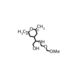 COCOCNC(CO)C1C[C@@H](C)O[C@@H](C)C1